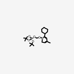 CC1=CCN(OCOP(=O)(OC(C)(C)C)OC(C)(C)C)C(C2CCCCC2)=C1